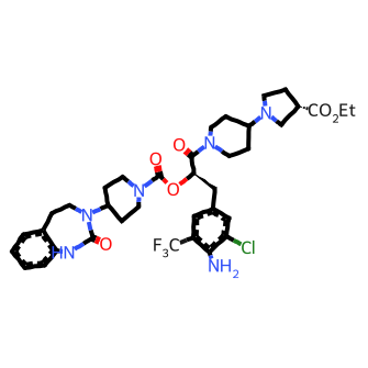 CCOC(=O)[C@H]1CCN(C2CCN(C(=O)[C@@H](Cc3cc(Cl)c(N)c(C(F)(F)F)c3)OC(=O)N3CCC(N4CCc5ccccc5NC4=O)CC3)CC2)C1